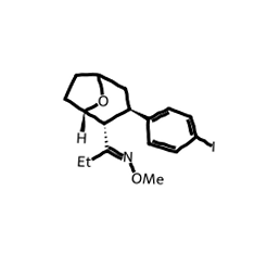 CCC(=NOC)[C@@H]1[C@@H]2CCC(C[C@H]1c1ccc(I)cc1)O2